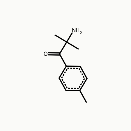 Cc1ccc(C(=O)C(C)(C)N)cc1